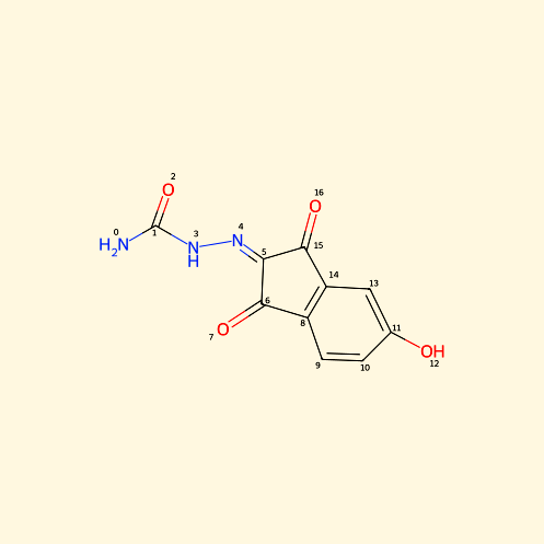 NC(=O)N/N=c1\c(=O)c2ccc(O)cc2c1=O